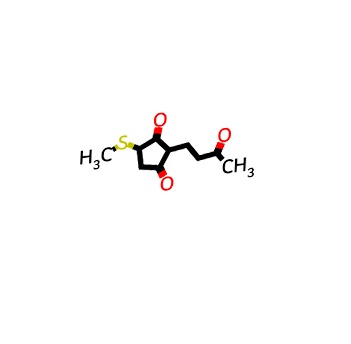 CSC1CC(=O)C(CCC(C)=O)C1=O